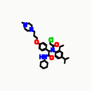 CCc1cc(C(C)C)ccc1N(C(=O)CCl)C(C(=O)NC1CCCCC1)c1ccc(OCCCN2CCN(C)CC2)cc1